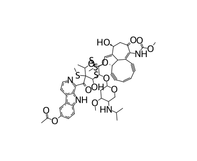 COC(=O)NC1=C2C#C/C=C\C#C[C@H](OC3OC(C)C(SC)(C(=O)c4nccc5c4[nH]c4ccc(OC(C)=O)cc45)C(O)C3OC3CC(OC)C(NC(C)C)CO3)C2/C(=C\CS(C)(=S)=S)[C@@H](O)CC1=O